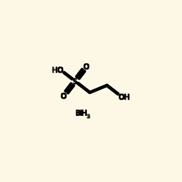 O=S(=O)(O)CCO.[BiH3]